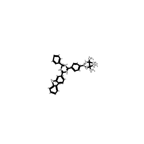 CC1(C)OB(c2ccc(-c3nc(-c4ccccc4)nc(-c4ccc5c(c4)oc4ccccc45)n3)cc2)OC1(C)C